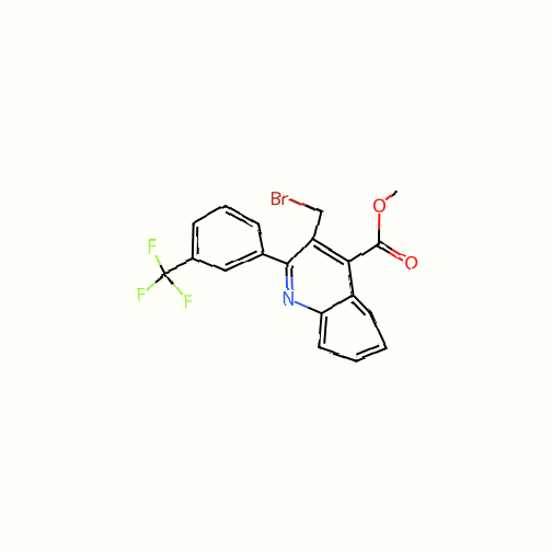 COC(=O)c1c(CBr)c(-c2cccc(C(F)(F)F)c2)nc2ccccc12